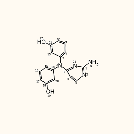 Nc1nccc(N(c2cccc(O)c2)c2cccc(O)c2)n1